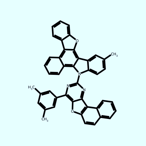 Cc1cc(C)cc(-c2nc(-n3c4ccc(C)cc4c4c5oc6ccccc6c5c5ccccc5c43)nc3c2oc2ccc4ccccc4c23)c1